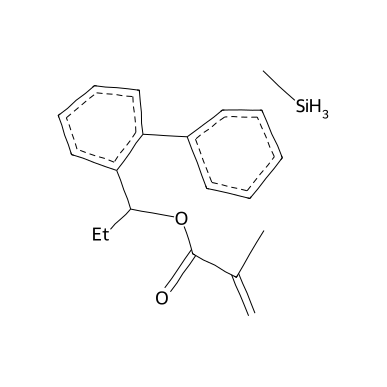 C=C(C)C(=O)OC(CC)c1ccccc1-c1ccccc1.C[SiH3]